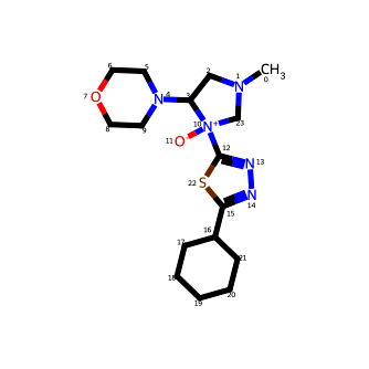 CN1CC(N2CCOCC2)[N+]([O-])(c2nnc(C3CCCCC3)s2)C1